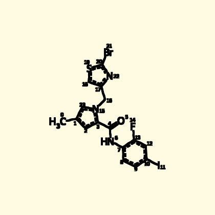 Cc1cc(C(=O)Nc2ccc(I)cc2F)n(Cc2csc(Br)n2)c1